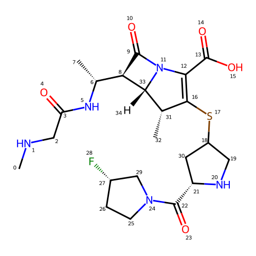 CNCC(=O)N[C@H](C)[C@H]1C(=O)N2C(C(=O)O)=C(SC3CN[C@H](C(=O)N4CC[C@H](F)C4)C3)[C@H](C)[C@H]12